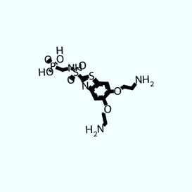 NCCOc1cc2nc(S(=O)(=O)NCP(=O)(O)O)sc2cc1OCCN